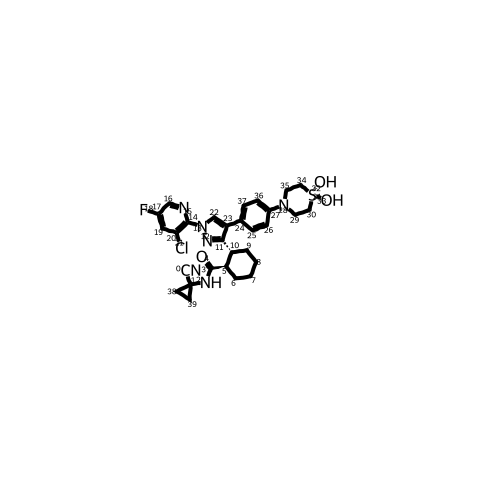 N#CC1(NC(=O)[C@@H]2CCCC[C@H]2c2nn(-c3ncc(F)cc3Cl)cc2-c2ccc(N3CCS(O)(O)CC3)cc2)CC1